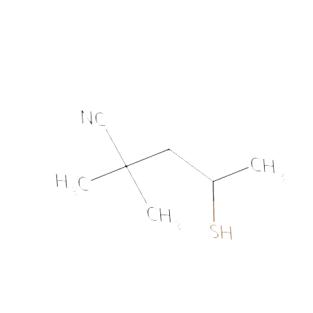 CC(S)CC(C)(C)C#N